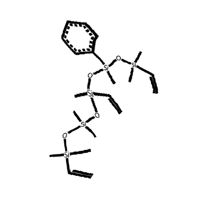 C=C[Si](C)(C)O[Si](C)(C)O[Si](C)(C=C)O[Si](C)(O[Si](C)(C)C=C)c1ccccc1